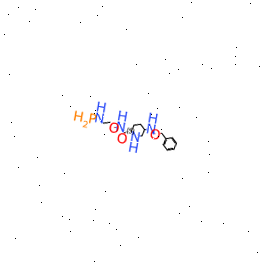 O=C(NOCCNP)[C@@H]1CCC(NOCc2ccccc2)CN1